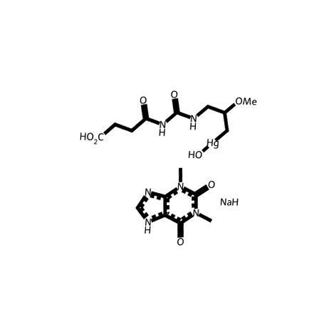 COC(CNC(=O)NC(=O)CCC(=O)O)[CH2][Hg][OH].Cn1c(=O)c2[nH]cnc2n(C)c1=O.[NaH]